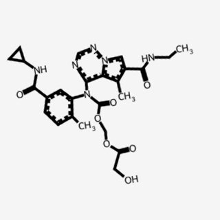 CCNC(=O)c1cn2ncnc(N(C(=O)OCOC(=O)CO)c3cc(C(=O)NC4CC4)ccc3C)c2c1C